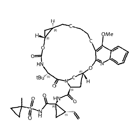 C=C[C@@H]1C[C@]1(NC(=O)[C@@H]1C[C@@H]2CN1C(=O)[C@H](C(C)(C)C)NC(=O)O[C@@H]1C[C@H]1CCCCCc1c(nc3ccccc3c1OC)O2)C(=O)NS(=O)(=O)C1(C)CC1